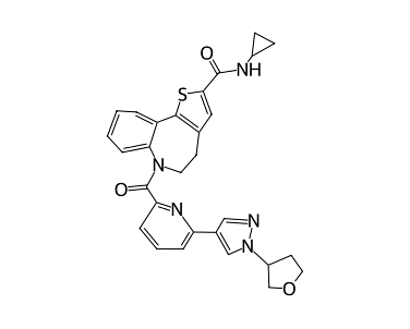 O=C(NC1CC1)c1cc2c(s1)-c1ccccc1N(C(=O)c1cccc(-c3cnn(C4CCOC4)c3)n1)CC2